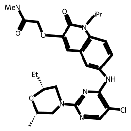 CC[C@@H]1CN(c2ncc(Cl)c(Nc3ccc4c(c3)cc(OCC(=O)NC)c(=O)n4C(C)C)n2)C[C@H](C)O1